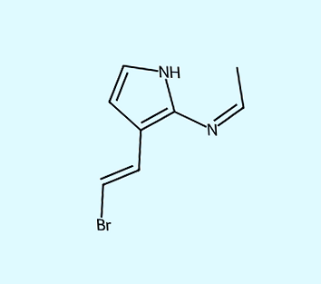 C/C=N\c1[nH]ccc1/C=C/Br